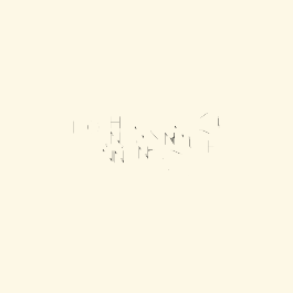 CCC1c2cc(-c3c(F)cccc3F)nnc2[C@](C)(c2ccnc(-c3nnc(CO)[nH]3)n2)C1(C)C